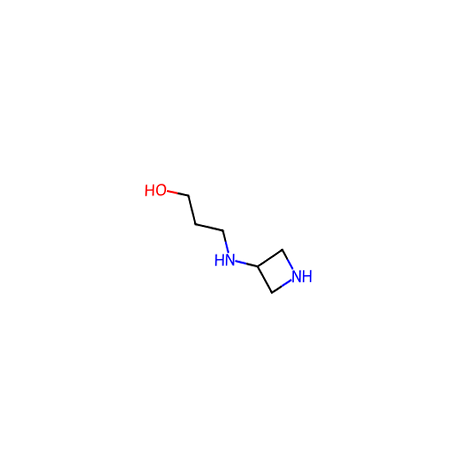 OCCCNC1CNC1